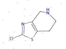 Clc1nc2c(s1)CCNC2